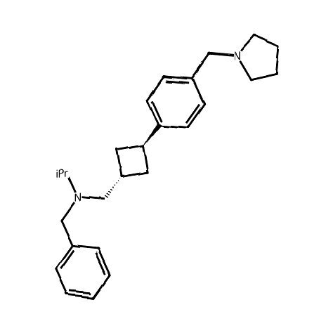 CC(C)N(Cc1ccccc1)C[C@H]1C[C@H](c2ccc(CN3CCCC3)cc2)C1